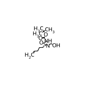 C=CCCCS(=O)(=NCO)NC(=O)OC(C)(C)C